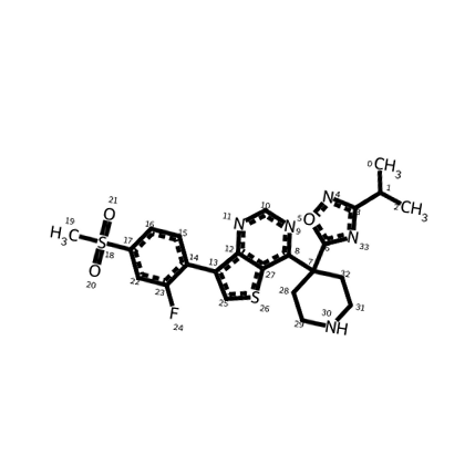 CC(C)c1noc(C2(c3ncnc4c(-c5ccc(S(C)(=O)=O)cc5F)csc34)CCNCC2)n1